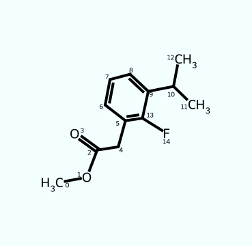 COC(=O)Cc1cccc(C(C)C)c1F